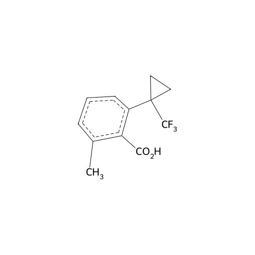 Cc1cccc(C2(C(F)(F)F)CC2)c1C(=O)O